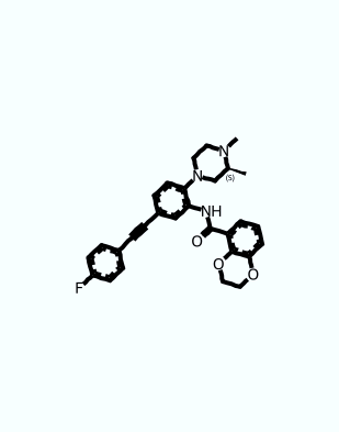 C[C@H]1CN(c2ccc(C#Cc3ccc(F)cc3)cc2NC(=O)c2cccc3c2OCCO3)CCN1C